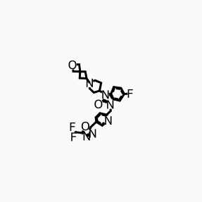 O=c1n(Cc2ccc(-c3nnc(C(F)F)o3)cn2)c2cc(F)ccc2n1C1CCN(C2CC3(COC3)C2)CC1